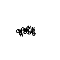 O=c1n(-c2cccc(-n3c4ccccc4c4ccncc43)c2)c2ccncc2n1-c1cccc(-n2c3ccccc3c3ccncc32)c1